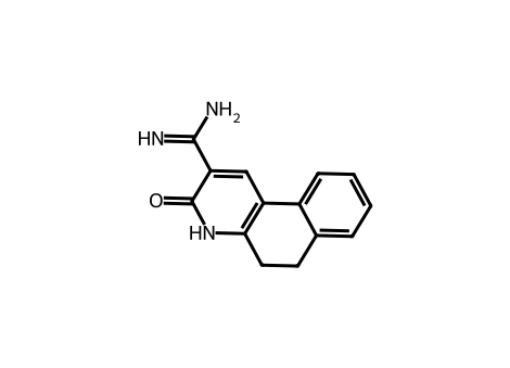 N=C(N)c1cc2c([nH]c1=O)CCc1ccccc1-2